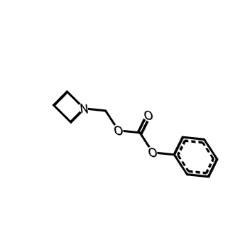 O=C(OCN1CCC1)Oc1ccccc1